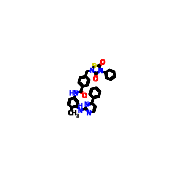 Cc1ccc(NC(=O)c2ccc(Cn3sc(=O)n(-c4ccccc4)c3=O)cc2)cc1Nc1nccc(-c2ccccc2)n1